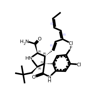 C\C=C/C=C(Cl)\C=C\[C@H]1[C@H](C(N)=O)N[C@H](CC(C)(C)C)[C@]12C(=O)Nc1cc(Cl)c(F)cc12